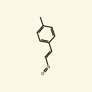 Cc1ccc(C=CN=O)cc1